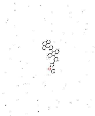 c1cc(-c2ccc3oc4ccccc4c3c2)cc(-c2c3ccccc3c(-c3cccc(-c4cccc5ccc6ccccc6c45)c3)c3ccccc23)c1